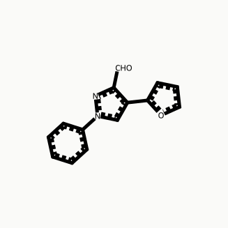 O=Cc1nn(-c2ccccc2)cc1-c1ccco1